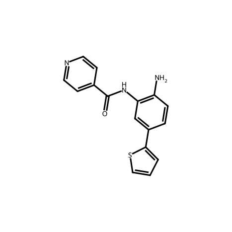 Nc1ccc(-c2cccs2)cc1NC(=O)c1ccncc1